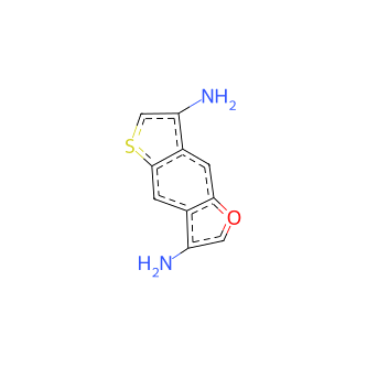 Nc1coc2cc3c(N)csc3cc12